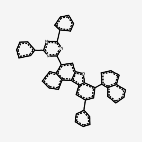 c1ccc(-c2cc(-c3cccc4ccccc34)c3oc4cc(-c5nc(-c6ccccc6)nc(-c6ccccc6)n5)c5ccccc5c4c3c2)cc1